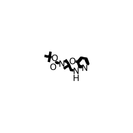 CC(C)(C)OC(=O)N1CC2(CNc3ncccc3O2)C1